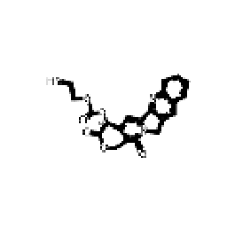 O=C(OCCS)O[C@@H]1C(=O)OCc2c1cc1n(c2=O)Cc2cc3ccccc3nc2-1